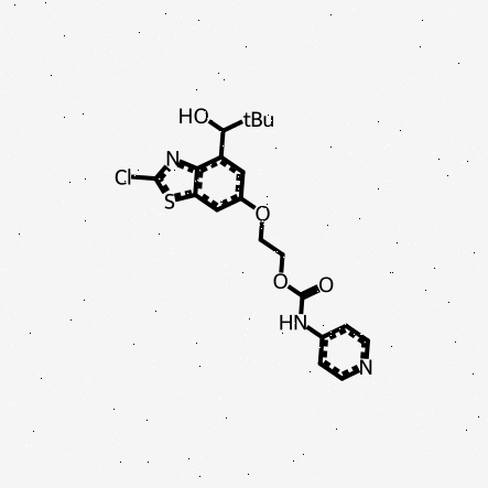 CC(C)(C)C(O)c1cc(OCCOC(=O)Nc2ccncc2)cc2sc(Cl)nc12